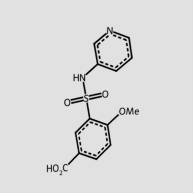 COc1ccc(C(=O)O)cc1S(=O)(=O)Nc1cccnc1